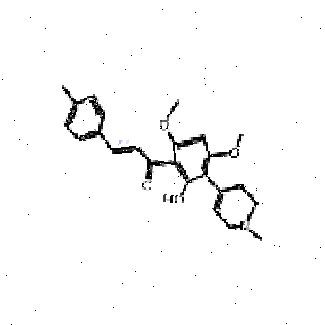 COc1cc(OC)c(C2=CCN(C)CC2)c(O)c1C(=O)/C=C/c1ccc(C)cc1